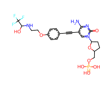 Nc1nc(=O)n(C2CCC(CO[PH](O)(O)O)O2)cc1C#Cc1ccc(OCCNC(O)C(F)(F)F)cc1